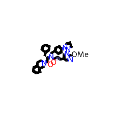 COc1ncc(/C=C/C(=O)N(Cc2ccc(-n3cccn3)cc2)[C@@H](Cc2ccccc2)C(=O)N2CCc3ccccc3C2)cn1